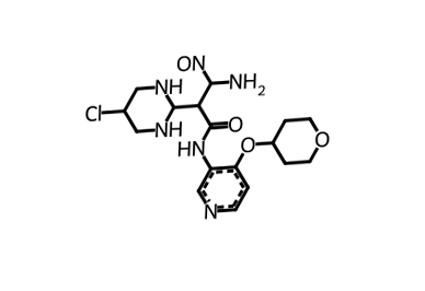 NC(N=O)C(C(=O)Nc1cnccc1OC1CCOCC1)C1NCC(Cl)CN1